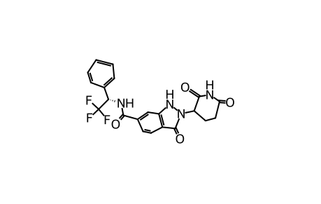 O=C1CCC(n2[nH]c3cc(C(=O)N[C@@H](c4ccccc4)C(F)(F)F)ccc3c2=O)C(=O)N1